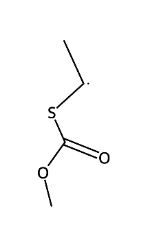 C[CH]SC(=O)OC